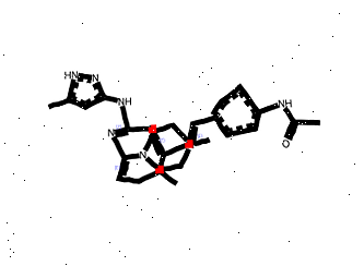 CC(=O)Nc1ccc(/C=C/C2=N/C(Nc3cc(C)[nH]n3)=N\C(N3CCN(C)CC3)=C\CC2C)cc1